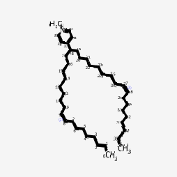 CCCCCCCC/C=C\CCCCCCCCC(CCCCCCCC/C=C\CCCCCCCC)c1cc[n+](C)cc1